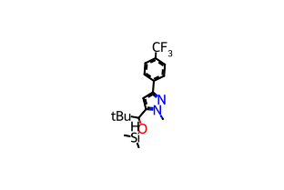 Cn1nc(-c2ccc(C(F)(F)F)cc2)cc1C(O[SiH](C)C)C(C)(C)C